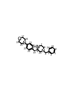 c1ccc(CN2CCN[C@H](Cc3ccc(N4CCOCC4)cc3)C2)cc1